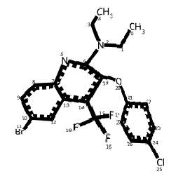 CCN(CC)c1nc2ccc(Br)cc2c(C(F)(F)F)c1Oc1ccc(Cl)cc1